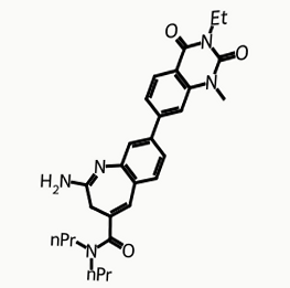 CCCN(CCC)C(=O)C1=Cc2ccc(-c3ccc4c(=O)n(CC)c(=O)n(C)c4c3)cc2N=C(N)C1